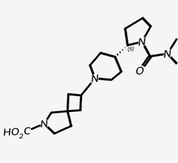 CN(C)C(=O)N1CCC[C@H]1C1CCN(C2CC3(CCN(C(=O)O)C3)C2)CC1